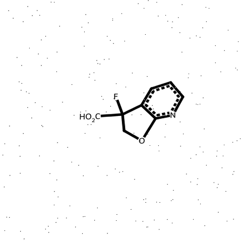 O=C(O)C1(F)COc2ncccc21